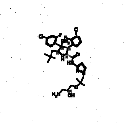 CC(C)(C)C[C@@H]1N[C@@H](C(=O)Nc2ccn(CC(C)(C)OC[C@H](O)CN)n2)[C@H](c2cccc(Cl)c2F)[C@@]1(N)c1ccc(Cl)cc1F